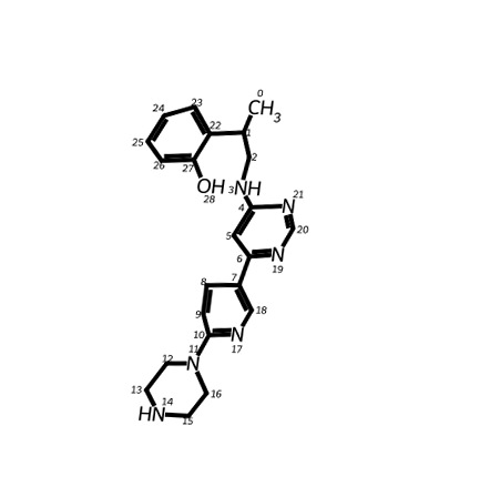 CC(CNc1cc(-c2ccc(N3CCNCC3)nc2)ncn1)c1ccccc1O